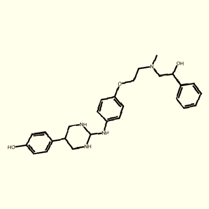 CN(CCOc1ccc(NC2NCC(c3ccc(O)cc3)CN2)cc1)CC(O)c1ccccc1